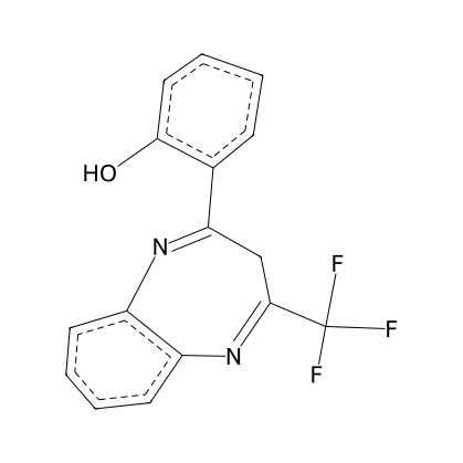 Oc1ccccc1C1=Nc2ccccc2N=C(C(F)(F)F)C1